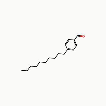 CCCCCCCCCCc1ccc([C]=O)cc1